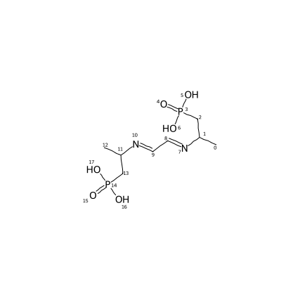 CC(CP(=O)(O)O)N=CC=NC(C)CP(=O)(O)O